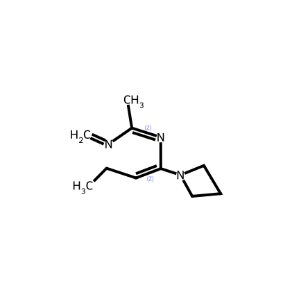 C=N/C(C)=N\C(=C/CC)N1CCC1